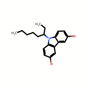 CCCCCC(CC)n1c2ccc(Br)cc2c2cc(Br)ccc21